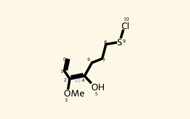 C=C/C(OC)=C(/O)CCCSCl